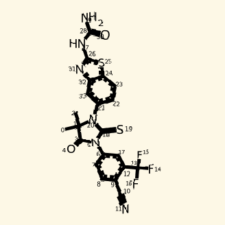 CC1(C)C(=O)N(c2ccc(C#N)c(C(F)(F)F)c2)C(=S)N1c1ccc2sc(NC(N)=O)nc2c1